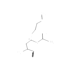 CSCCC[C@@H](CC(C)C=O)NC(C)C